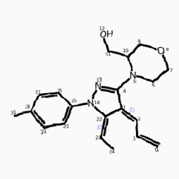 C=C/C=c1/c(N2CCOCC2CO)nn(-c2ccc(C)cc2)/c1=C/C